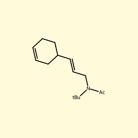 CC(=O)N(C/C=C/C1CC=CCC1)C(C)(C)C